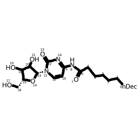 CCCCCCCCCCCCCCCC(=O)Nc1ccn([C@@H]2O[C@H](CO)C(O)C2O)c(=O)n1